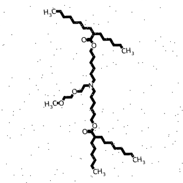 CCCCCCCCC(CCCCCC)C(=O)OCCCCCCN(CCCCCCOC(=O)C(CCCCCC)CCCCCCCC)CCOCCOC